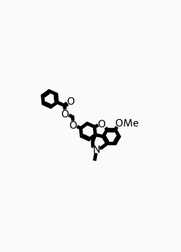 COc1ccc2c3c1OC1CC(OCOC(=O)c4ccccc4)C=CC31CCN(C)C2